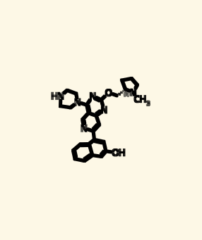 CN1CCC[C@H]1COc1nc(N2CCNCC2)c2cnc(-c3cc(O)cc4ccccc34)cc2n1